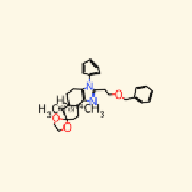 C[C@H]1[C@@H]2CCc3c(nc(CCOCc4ccccc4)n3-c3ccccc3)[C@@]2(C)CCC12OCCO2